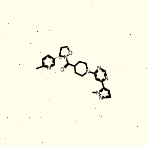 Cc1ccc([C@@H]2CCON2C(=O)C2CCN(c3cc(-c4ccnn4C)ncn3)CC2)cn1